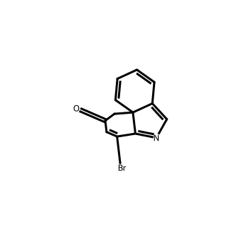 O=C1C=C(Br)C2=NC=C3C=CC=CC32C1